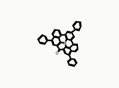 O=c1c2cc(-c3ccccc3)c3cccc4c5cc(-c6ccccc6)cc6c7cccc8c(-c9ccccc9)cc1c(c87)n(c56)c2c34